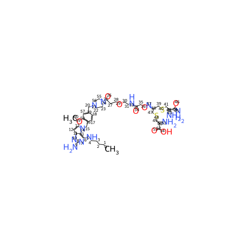 CCCCCNc1nc(N)nc2ccn(Cc3ccc(CN4CCN(C(=O)CCOCCNC(=O)CON=C(CSC[C@H](N)C(N)=O)CSC[C@H](N)C(=O)O)CC4)cc3OC)c12